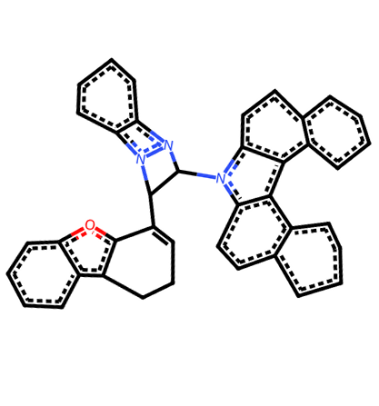 C1=C(C2C(n3c4ccc5ccccc5c4c4c5ccccc5ccc43)n3c4ccccc4n32)c2oc3ccccc3c2CC1